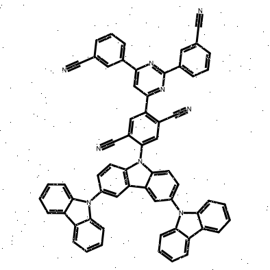 N#Cc1cccc(-c2cc(-c3cc(C#N)c(-n4c5ccc(-n6c7ccccc7c7ccccc76)cc5c5cc(-n6c7ccccc7c7ccccc76)ccc54)cc3C#N)nc(-c3cccc(C#N)c3)n2)c1